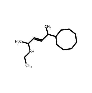 CCNC(C)C=CC(C)C1CCCCCCC1